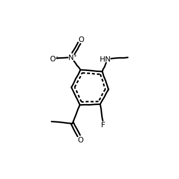 CNc1cc(F)c(C(C)=O)cc1[N+](=O)[O-]